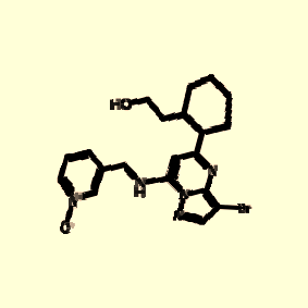 [O-][n+]1cccc(CNc2cc(C3CCCCC3CCO)nc3c(Br)cnn23)c1